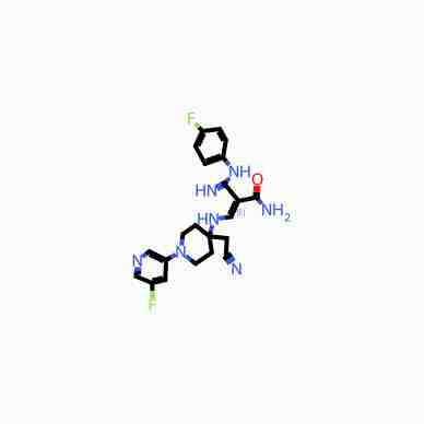 N#CCC1(N/C=C(\C(=N)Nc2ccc(F)cc2)C(N)=O)CCN(c2cncc(F)c2)CC1